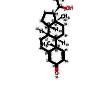 CC(O)[C@H]1CC[C@H]2[C@@H]3CCC4=CC(=O)C=C[C@@]4(C)[C@@H]3CC[C@]12C